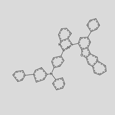 c1ccc(-c2ccc(N(c3ccccc3)c3ccc(-c4nc(-c5cc(-c6ccccc6)cc6c5oc5cc7ccccc7cc56)c5ccccc5n4)cc3)cc2)cc1